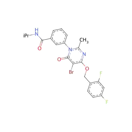 Cc1nc(OCc2ccc(F)cc2F)c(Br)c(=O)n1-c1cccc(C(=O)NC(C)C)c1